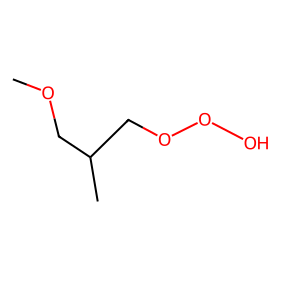 COCC(C)COOO